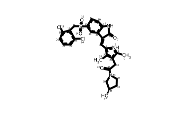 Cc1[nH]c(/C=C2\C(=O)Nc3ccc(S(=O)(=O)Cc4c(Cl)cccc4Cl)cc32)c(C)c1CC(=O)N1CC[C@@H](O)C1